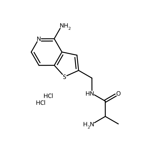 CC(N)C(=O)NCc1cc2c(N)nccc2s1.Cl.Cl